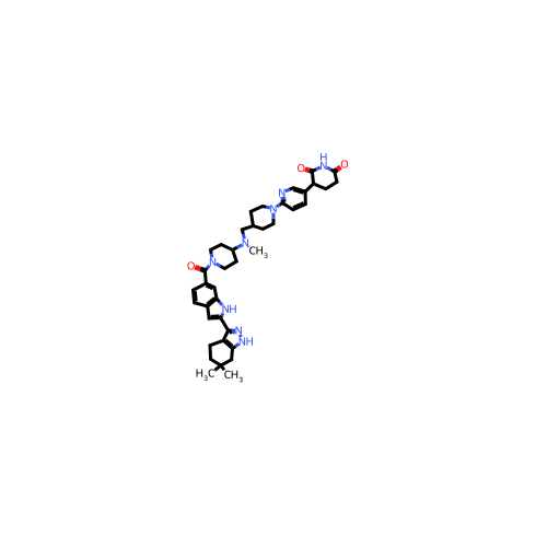 CN(CC1CCN(c2ccc(C3CCC(=O)NC3=O)cn2)CC1)C1CCN(C(=O)c2ccc3cc(-c4n[nH]c5c4CCC(C)(C)C5)[nH]c3c2)CC1